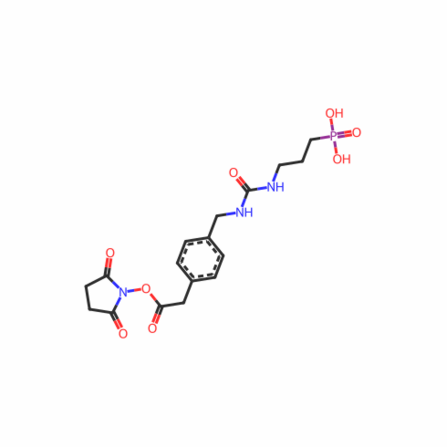 O=C(NCCCP(=O)(O)O)NCc1ccc(CC(=O)ON2C(=O)CCC2=O)cc1